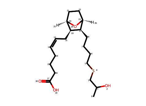 CC(O)CSCCCC[C@H]1[C@@H](C/C=C\CCCC(=O)O)[C@H]2CC[C@@H]1O2